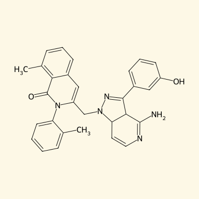 Cc1ccccc1-n1c(CN2N=C(c3cccc(O)c3)C3C(N)=NC=CC32)cc2cccc(C)c2c1=O